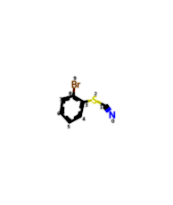 N#CSc1ccccc1Br